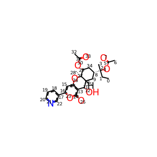 CCC(C)(OC(C)=O)[C@@H]1C[C@@H]2[C@H](O)c3c(cc(-c4cccnc4)oc3=O)O[C@@]2(C)[C@H](OC(C)=O)C1